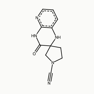 N#CN1CCC2(C1)Nc1cccnc1NC2=O